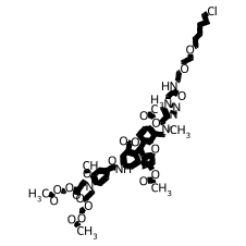 COc1cc(C(=O)Nc2ccc3c(c2)C(=O)OC32c3ccc(OC(C)=O)cc3Oc3c2ccc(OC(C)=O)c3CN(C)Cc2cn(CC(=O)NCCOCCOCCCCCCCl)nn2)ccc1N(CC(=O)OCOC(C)=O)CC(=O)OCOC(C)=O